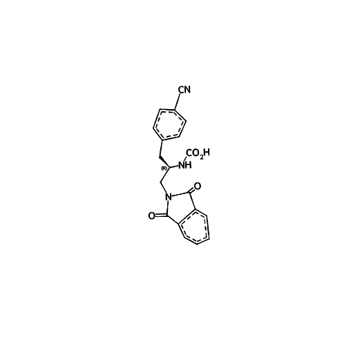 N#Cc1ccc(C[C@H](CN2C(=O)c3ccccc3C2=O)NC(=O)O)cc1